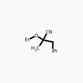 CCOC(C)(C#N)CC(C)C